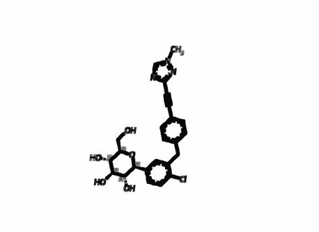 Cn1cnc(C#Cc2ccc(Cc3cc([C@@H]4O[C@H](CO)[C@@H](O)[C@H](O)[C@H]4O)ccc3Cl)cc2)n1